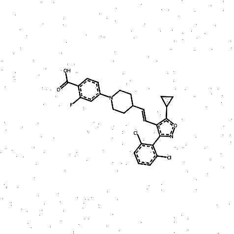 O=C(O)c1ccc(N2CCC(C=Cc3c(-c4c(Cl)cccc4Cl)noc3C3CC3)CC2)cc1F